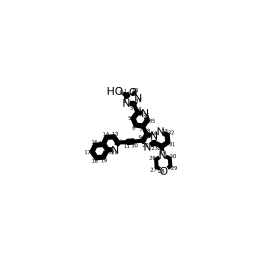 Oc1nc(-c2ccc(-c3c(C#Cc4ccc5ccccc5n4)nc4c(N5CCOCC5)ccnn34)cn2)no1